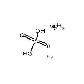 F.O=S(=O)(O)O.[MgH2]